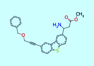 COC(=O)CC(N)c1ccc2sc3ccc(C#CCOCc4ccccc4)cc3c2c1